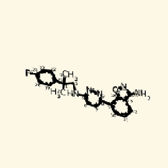 CC(C)(CNc1ccc(-c2cccc3c(N)noc23)nn1)c1ccc(F)cc1